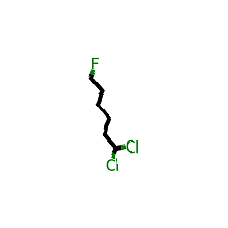 FCCCCCC(Cl)Cl